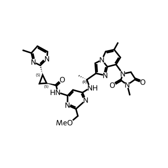 COCc1nc(NC(=O)[C@H]2C[C@@H]2c2nccc(C)n2)cc(N[C@H](C)c2cn3cc(C)cc(N4CC(=O)N(C)C4=O)c3n2)n1